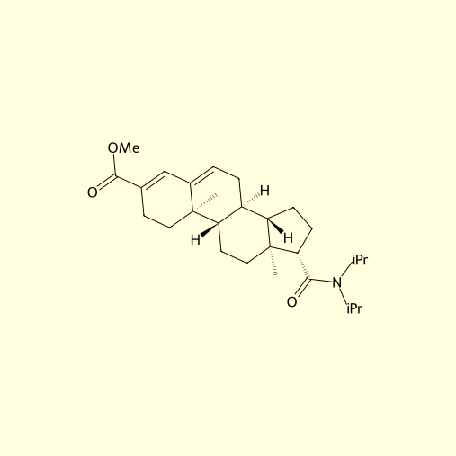 COC(=O)C1=CC2=CC[C@H]3[C@@H]4CC[C@H](C(=O)N(C(C)C)C(C)C)[C@@]4(C)CC[C@@H]3[C@@]2(C)CC1